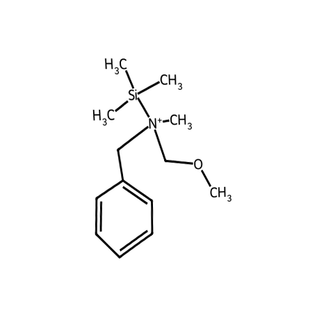 COC[N+](C)(Cc1ccccc1)[Si](C)(C)C